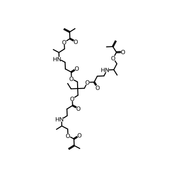 C=C(C)C(=O)OCC(C)NCCC(=O)OCC(CC)(COC(=O)CCNC(C)COC(=O)C(=C)C)COC(=O)CCNC(C)COC(=O)C(=C)C